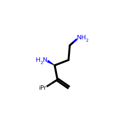 C=C(C(C)C)[C@@H](N)CCN